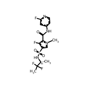 C[C@@H](NS(=O)(=O)c1cn(C)c(C(=O)Nc2ccnc(F)c2)c1F)C(C)(F)F